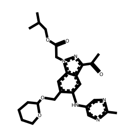 CC(=O)c1nn(CC(=O)OCC(C)C)c2cc(COC3CCCCO3)c(Nc3cnc(C)nc3)cc12